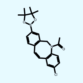 CC(=O)N1Cc2cc(B3OC(C)(C)C(C)(C)O3)ccc2/C=C\c2cc(Cl)ccc21